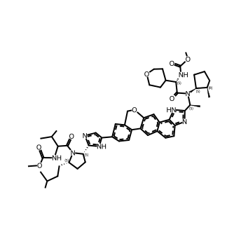 COC(=O)NC(C(=O)N1[C@@H](CCC(C)C)CC[C@H]1c1ncc(-c2ccc3c(c2)COc2cc4c(ccc5nc([C@H](C)N(C(=O)[C@@H](NC(=O)OC)C6CCOCC6)[C@H]6CCC[C@H]6C)[nH]c54)cc2-3)[nH]1)C(C)C